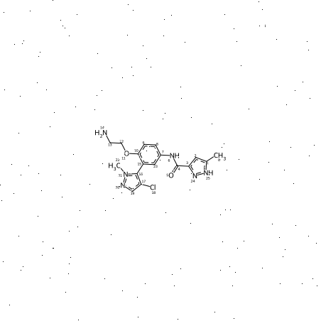 Cc1cc(C(=O)Nc2ccc(OCCN)c(-c3c(Cl)cnn3C)c2)n[nH]1